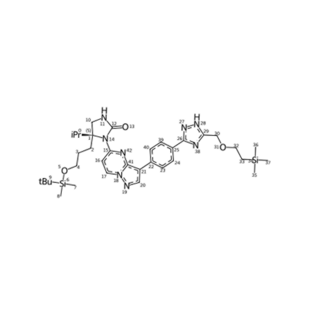 CC(C)[C@@]1(CCCO[Si](C)(C)C(C)(C)C)CNC(=O)N1c1ccn2ncc(-c3ccc(-c4n[nH]c(COCC[Si](C)(C)C)n4)cc3)c2n1